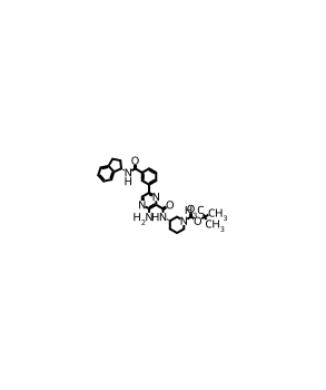 CC(C)(C)OC(=O)N1CCC[C@H](NC(=O)c2nc(-c3cccc(C(=O)N[C@H]4CCc5ccccc54)c3)cnc2N)C1